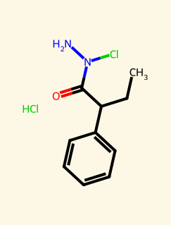 CCC(C(=O)N(N)Cl)c1ccccc1.Cl